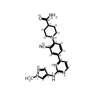 Cn1cc(Nc2nccc(-c3ccc(N4CCC(C(N)=O)CC4)c(C#N)c3)n2)cn1